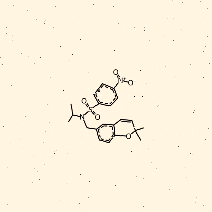 CC(C)N(Cc1ccc2c(c1)C=CC(C)(C)O2)S(=O)(=O)c1ccc([N+](=O)[O-])cc1